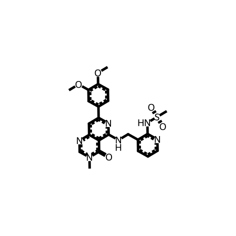 COc1ccc(-c2cc3ncn(C)c(=O)c3c(NCc3cccnc3NS(C)(=O)=O)n2)cc1OC